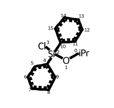 CC(C)O[Si](Cl)(c1ccccc1)c1ccccc1